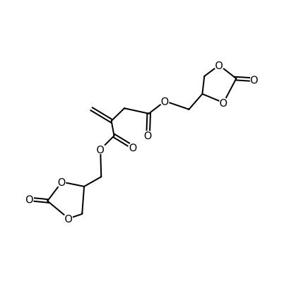 C=C(CC(=O)OCC1COC(=O)O1)C(=O)OCC1COC(=O)O1